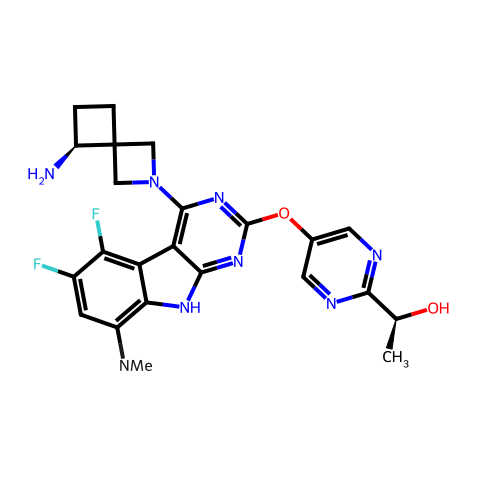 CNc1cc(F)c(F)c2c1[nH]c1nc(Oc3cnc([C@H](C)O)nc3)nc(N3CC4(CC[C@@H]4N)C3)c12